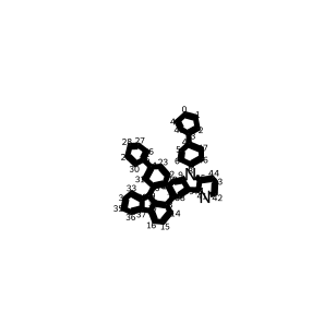 c1ccc(-c2ccc(-n3c4ccc(-c5cccc6c5C(c5cccc(-c7ccccc7)c5)c5ccccc5-6)cc4c4ncccc43)cc2)cc1